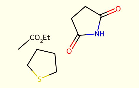 C1CCSC1.CCOC(C)=O.O=C1CCC(=O)N1